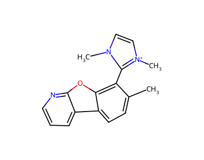 Cc1ccc2c(oc3ncccc32)c1-c1n(C)cc[n+]1C